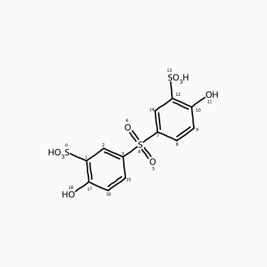 O=S(=O)(O)c1cc(S(=O)(=O)c2ccc(O)c(S(=O)(=O)O)c2)ccc1O